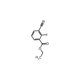 CCOC(=O)c1cccc(C#N)c1I